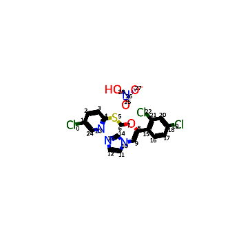 Clc1ccc(SCOC(=Cn2ccnc2)c2ccc(Cl)cc2Cl)nc1.O=[N+]([O-])O